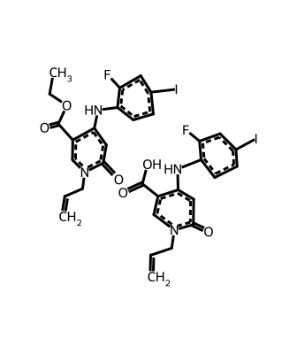 C=CCn1cc(C(=O)O)c(Nc2ccc(I)cc2F)cc1=O.C=CCn1cc(C(=O)OCC)c(Nc2ccc(I)cc2F)cc1=O